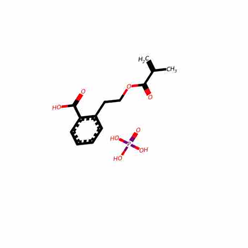 C=C(C)C(=O)OCCc1ccccc1C(=O)O.O=P(O)(O)O